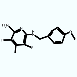 COc1ccc(CNc2nc(N)c(F)c(C)c2F)cc1